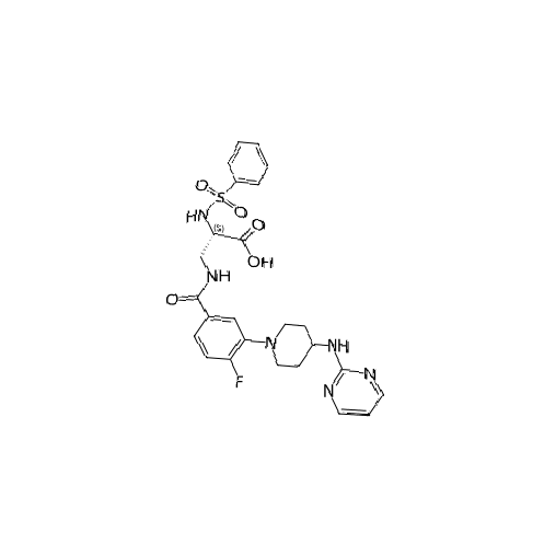 O=C(NC[C@H](NS(=O)(=O)c1ccccc1)C(=O)O)c1ccc(F)c(N2CCC(Nc3ncccn3)CC2)c1